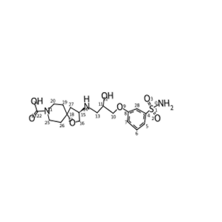 NS(=O)(=O)c1cccc(OCC(O)CN[C@H]2COC3(CCN(C(=O)O)CC3)C2)c1